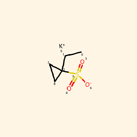 CCC1(S(=O)(=O)[O-])CC1.[K+]